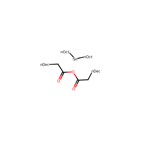 CCCCCCCCCCCC(=O)OC(=O)CCCCCCCCCCC.CCCCCCC[CH2][Sn][CH2]CCCCCCC